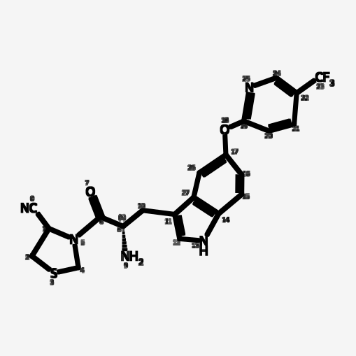 N#CC1CSCN1C(=O)[C@@H](N)Cc1c[nH]c2ccc(Oc3ccc(C(F)(F)F)cn3)cc12